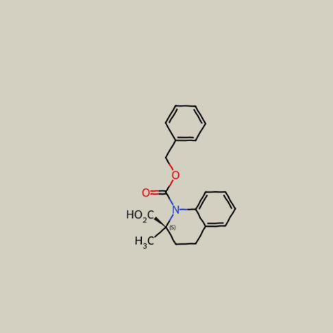 C[C@@]1(C(=O)O)CCc2ccccc2N1C(=O)OCc1ccccc1